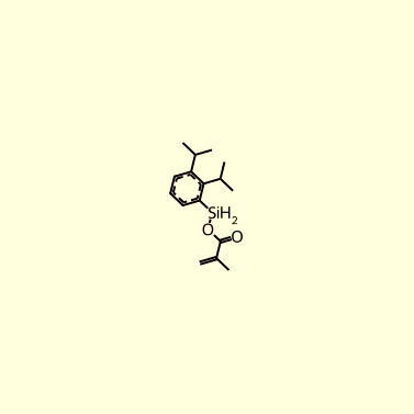 C=C(C)C(=O)O[SiH2]c1cccc(C(C)C)c1C(C)C